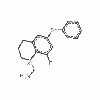 NC[C@@H]1CCCc2cc(Sc3ccccc3)cc(F)c21